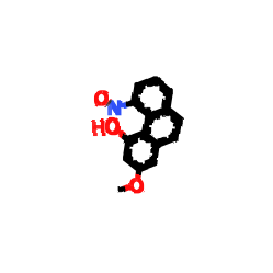 COc1cc(O)c2c(ccc3cccc(N=O)c32)c1